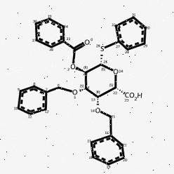 O=C(O[C@@H]1[C@@H](OCc2ccccc2)[C@@H](OCc2ccccc2)[C@@H](C(=O)O)O[C@H]1Sc1ccccc1)c1ccccc1